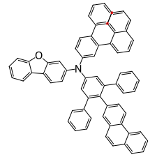 c1ccc(-c2ccc(N(c3cc(-c4ccccc4)c(-c4ccc5c(ccc6ccccc65)c4)c(-c4ccccc4)c3)c3ccc4c(c3)oc3ccccc34)cc2-c2cccc3ccccc23)cc1